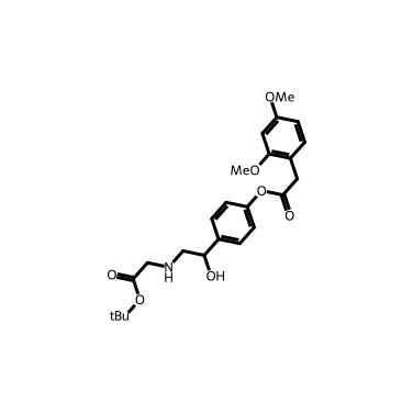 COc1ccc(CC(=O)Oc2ccc(C(O)CNCC(=O)OC(C)(C)C)cc2)c(OC)c1